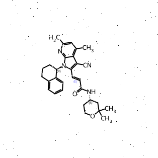 Cc1cc(C)c2c(C#N)c(/C=C/C(=O)N[C@H]3CCOC(C)(C)C3)n([C@@H]3CCCc4ccccc43)c2n1